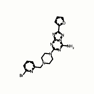 Nc1nc(N2CCN(Cc3cccc(Br)n3)CC2)nc2nc(-c3ccco3)nn12